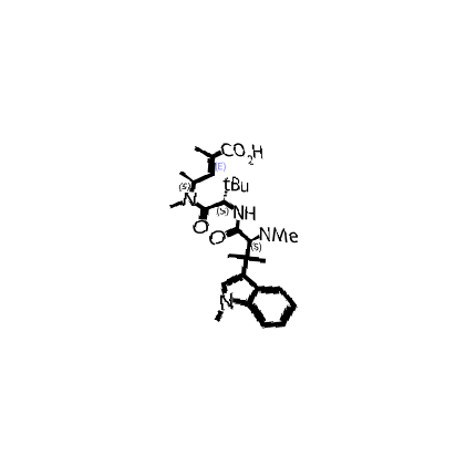 CN[C@H](C(=O)N[C@H](C(=O)N(C)[C@@H](C)/C=C(\C)C(=O)O)C(C)(C)C)C(C)(C)c1cn(C)c2ccccc12